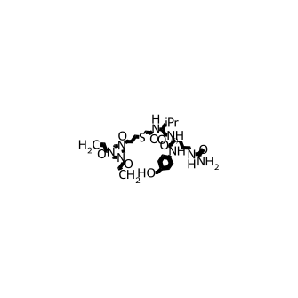 C=CC(=O)N1CN(C(=O)C=C)CN(C(=O)CCSCC(=O)NC(C(=O)N[C@@H](CCCNC(N)=O)C(=O)Nc2ccc(CO)cc2)C(C)C)C1